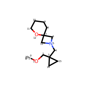 CC(C)OCC1(CN2CC3(CCCCO3)C2)CC1